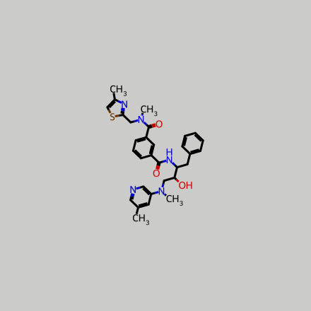 Cc1cncc(N(C)CC(O)C(Cc2ccccc2)NC(=O)c2cccc(C(=O)N(C)Cc3nc(C)cs3)c2)c1